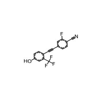 N#Cc1ccc(C#Cc2ccc(O)cc2C(F)(F)F)cc1F